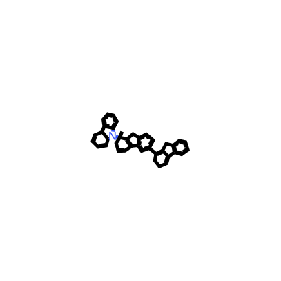 CC1(N2c3ccccc3C3C=CC=CC32)CC=CC2=C1Cc1ccc(C3=C4Cc5ccccc5C4=CCC3)cc12